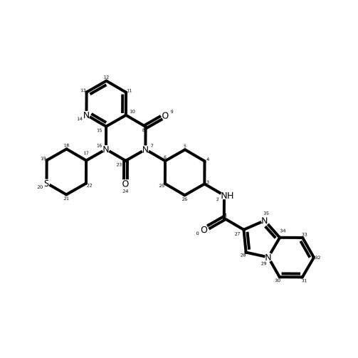 O=C(NC1CCC(n2c(=O)c3cccnc3n(C3CCSCC3)c2=O)CC1)c1cn2ccccc2n1